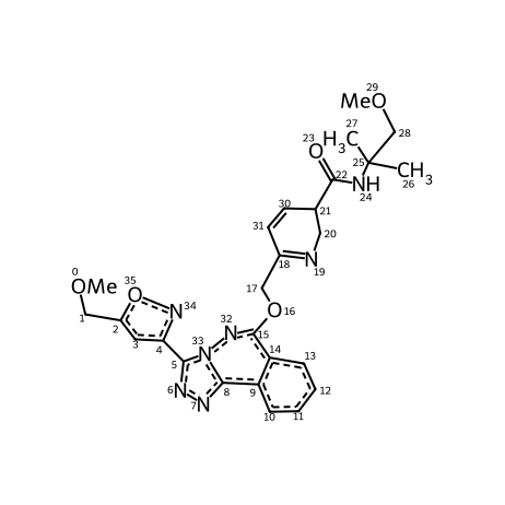 COCc1cc(-c2nnc3c4ccccc4c(OCC4=NCC(C(=O)NC(C)(C)COC)C=C4)nn23)no1